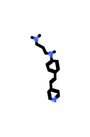 CN(C)CCCN(C)c1ccc(/C=C/c2ccncc2)cc1